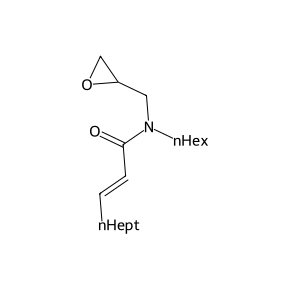 CCCCCCCC=CC(=O)N(CCCCCC)CC1CO1